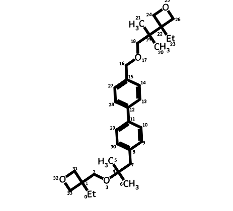 CCC1(COC(C)(C)Cc2ccc(-c3ccc(COCC(C)(C)C4(CC)COC4)cc3)cc2)COC1